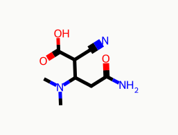 CN(C)C(CC(N)=O)C(C#N)C(=O)O